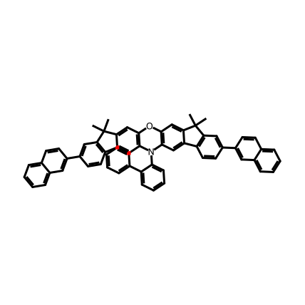 CC1(C)c2cc(-c3ccc4ccccc4c3)ccc2-c2cc3c(cc21)Oc1cc2c(cc1N3c1ccccc1-c1ccccc1)-c1ccc(-c3ccc4ccccc4c3)cc1C2(C)C